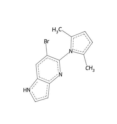 Cc1ccc(C)n1-c1nc2cc[nH]c2cc1Br